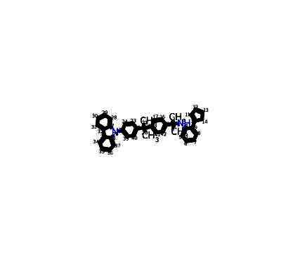 CC(C)(Nc1ccccc1C1=CC=CC1)c1ccc(C(C)(C)c2ccc(-n3c4ccccc4c4ccccc43)cc2)cc1